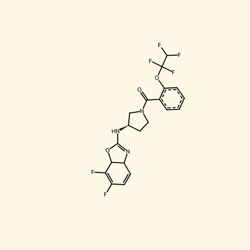 O=C(c1ccccc1OC(F)(F)C(F)F)N1CC[C@@H](NC2=NC3C=CC(F)=C(F)C3O2)C1